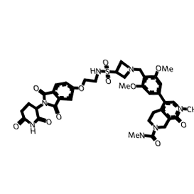 CNC(=O)N1CCc2c(-c3cc(OC)c(CN4CC(S(=O)(=O)NCCOc5ccc6c(c5)C(=O)N(C5CCC(=O)NC5=O)C6=O)C4)c(OC)c3)cn(C)c(=O)c2C1